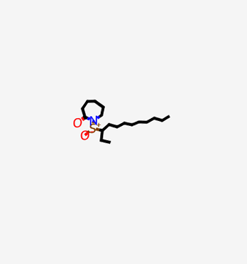 CCCCCCCCCC(CC)[S+]([O-])N1CCCCCC1=O